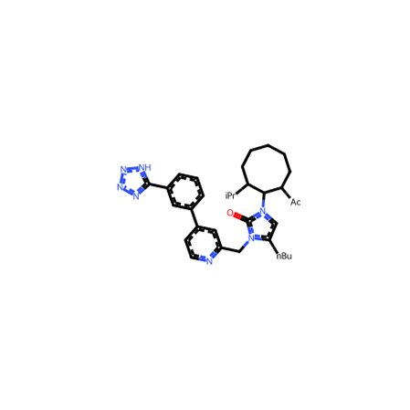 CCCCc1cn(C2C(C(C)=O)CCCCCC2C(C)C)c(=O)n1Cc1cc(-c2cccc(-c3nnn[nH]3)c2)ccn1